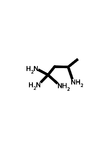 CC(N)CC(N)(N)N